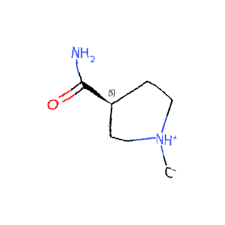 [CH2-][NH+]1CC[C@H](C(N)=O)C1